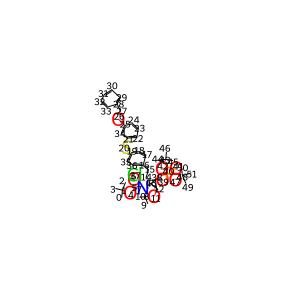 CC(C)(C)OC(=O)N1C(C)(C)OC[C@]1(CCc1ccc(Sc2cccc(OCc3ccccc3)c2)cc1Cl)COP(=O)(OC(C)(C)C)OC(C)(C)C